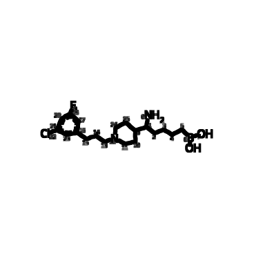 NC(CCCCB(O)O)C1CCN(CCCc2cc(F)cc(Cl)c2)CC1